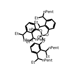 CCCCCC(CC)c1cccc(OP(=O)(Oc2cccc(C(CC)CCCCC)c2C(CC)CCCCC)Oc2cccc(C(CC)CCCCC)c2C(CC)CCCCC)c1C(CC)CCCCC